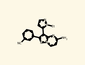 CCn1nccc1-c1c(-c2cccc(C#N)c2)nn2ccc(N)nc12